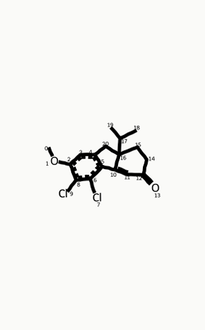 COc1cc2c(c(Cl)c1Cl)C1=CC(=O)CCC1(C(C)C)C2